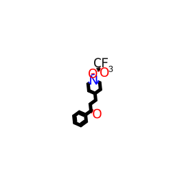 O=C(CCC1CCN(OC(=O)C(F)(F)F)CC1)c1ccccc1